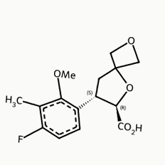 COc1c([C@@H]2CC3(COC3)O[C@H]2C(=O)O)ccc(F)c1C